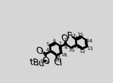 CC(C)(C)OC(=O)c1ccc(C(=O)Cc2ccccc2F)cc1Cl